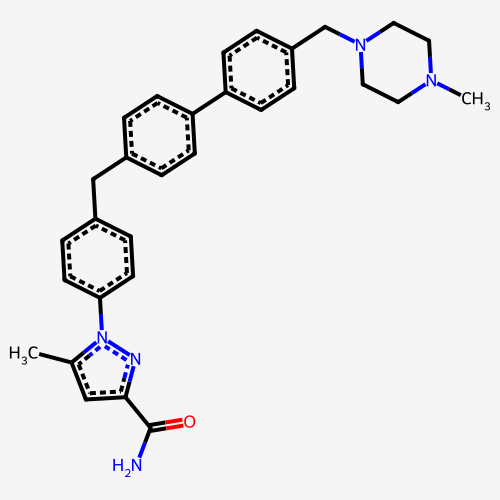 Cc1cc(C(N)=O)nn1-c1ccc(Cc2ccc(-c3ccc(CN4CCN(C)CC4)cc3)cc2)cc1